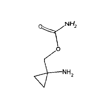 NC(=O)OCC1(N)CC1